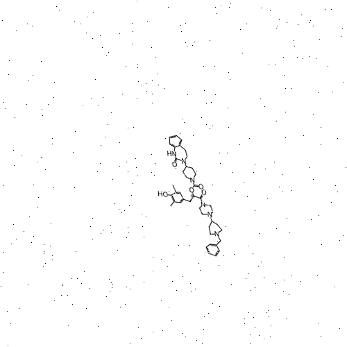 Cc1cc(C[C@@H](OC(=O)N2CCC(N3CCc4ccccc4NC3=O)CC2)C(=O)N2CCN(C3CCN(Cc4ccccc4)CC3)CC2)cc(C)c1O